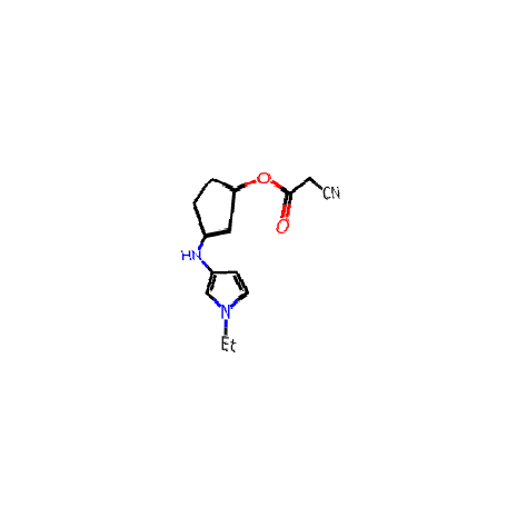 CCn1ccc(NC2CCC(OC(=O)CC#N)C2)c1